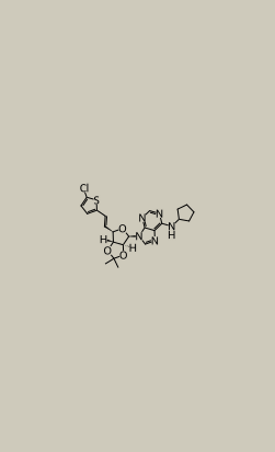 CC1(C)O[C@H]2[C@H](O1)[C@@H](C=Cc1ccc(Cl)s1)O[C@H]2n1cnc2c(NC3CCCC3)ncnc21